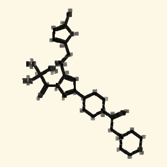 CC(C)(C)C(=O)n1nc(C2CCN(C(=O)CN3CCOCC3)CC2)cc1NCc1ccc(Cl)s1